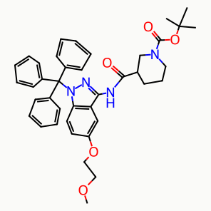 COCCOc1ccc2c(c1)c(NC(=O)C1CCCN(C(=O)OC(C)(C)C)C1)nn2C(c1ccccc1)(c1ccccc1)c1ccccc1